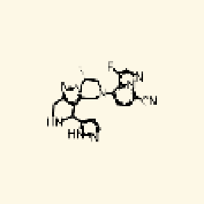 C[C@@H]1CN(c2ccc(C#N)n3ncc(F)c23)Cc2c3c(nn21)CCNC3c1ccn[nH]1